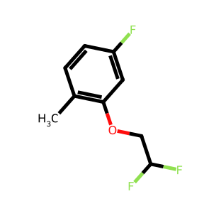 Cc1ccc(F)cc1OCC(F)F